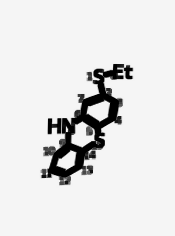 CCSc1ccc2c(c1)Nc1ccccc1S2